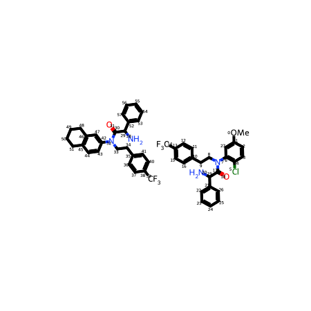 COc1ccc(Cl)c(N(CCc2ccc(C(F)(F)F)cc2)C(=O)C(N)c2ccccc2)c1.NC(C(=O)N(CCc1ccc(C(F)(F)F)cc1)c1ccc2c(c1)CCCC2)c1ccccc1